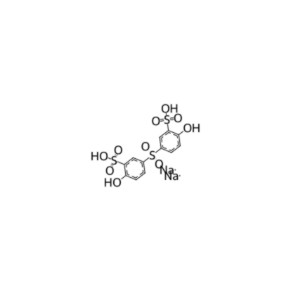 O=S(=O)(O)c1cc(S(=O)(=O)c2ccc(O)c(S(=O)(=O)O)c2)ccc1O.[Na].[Na]